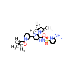 C[C@@H]1CN(c2nc(C3=CCCN(C(=O)CC(C)(C)C)C3)ccc2C(=O)NS(=O)(=O)c2cccc(N)n2)C(C)(C)C1